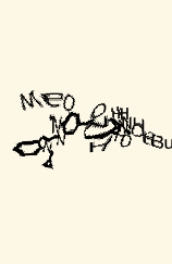 COc1cc(C(=O)N2C[C@H]3C[C@H](N)[C@@H]2[C@@H]3NC(=O)OC(C)(C)C)cc2nc(-c3cc4ccccc4n3CC3CC3)n(C)c12